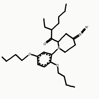 CCCCOc1ccc(OCCCC)c(N2CCC(=[N+]=[N-])CC2C(=O)C(CC)CCCC)c1